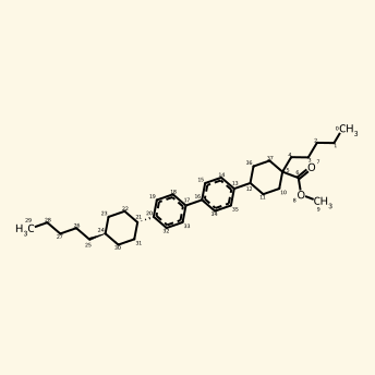 CCCCCC1(C(=O)OC)CCC(c2ccc(-c3ccc([C@H]4CC[C@H](CCCCC)CC4)cc3)cc2)CC1